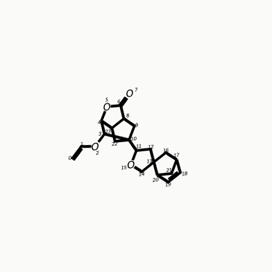 C=COC1C2OC(=O)C3CC1(C1CC4(CO1)CC1C=CC4C1)CC32